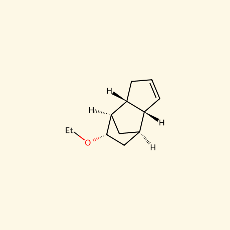 [CH2]CO[C@H]1C[C@H]2C[C@@H]1[C@@H]1CC=C[C@H]21